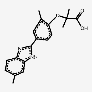 Cc1ccc2nc(-c3ccc(OC(C)(C)C(=O)O)c(C)c3)[nH]c2c1